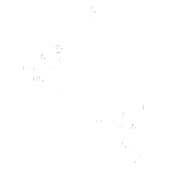 Cc1ncsc1-c1ccc(CNC(=O)[C@@H]2C[C@@H](O)CN2C(=O)C(NC(=O)COCC#CC#CCOc2cc(F)c([C@@H]3c4[nH]c5ccccc5c4C[C@@H](C)N3CC(C)(C)F)c(F)c2)C(C)(C)C)cc1